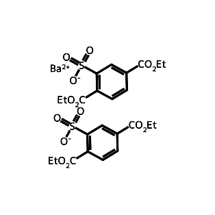 CCOC(=O)c1ccc(C(=O)OCC)c(S(=O)(=O)[O-])c1.CCOC(=O)c1ccc(C(=O)OCC)c(S(=O)(=O)[O-])c1.[Ba+2]